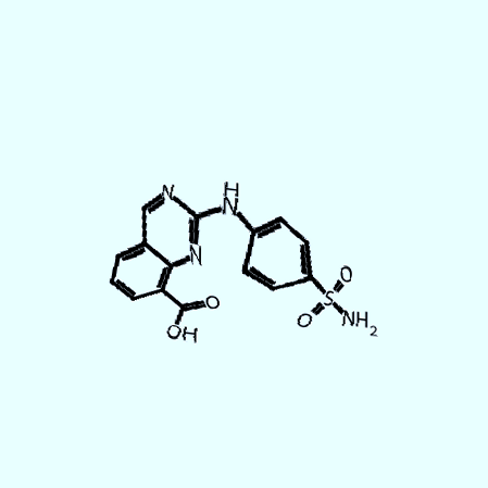 NS(=O)(=O)c1ccc(Nc2ncc3cccc(C(=O)O)c3n2)cc1